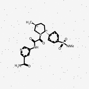 CNS(=O)(=O)c1ccc([C@H]2CC[C@H](C)CN2C(=O)C(=O)Nc2cncc(C(N)=O)c2)cc1